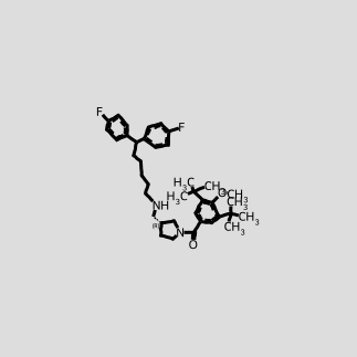 COc1c(C(C)(C)C)cc(C(=O)N2CC[C@H](CNCCCCCC(c3ccc(F)cc3)c3ccc(F)cc3)C2)cc1C(C)(C)C